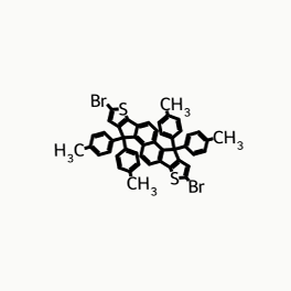 Cc1ccc(C2(c3ccc(C)cc3)c3cc(Br)sc3-c3ccc4c5c(ccc4c32)-c2sc(Br)cc2C5(c2ccc(C)cc2)c2ccc(C)cc2)cc1